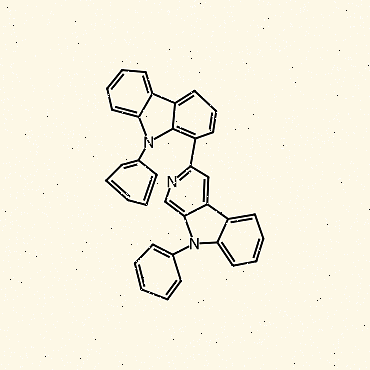 c1ccc(-n2c3ccccc3c3cc(-c4cccc5c6ccccc6n(-c6ccccc6)c45)ncc32)cc1